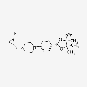 CCCC1(C)OB(c2ccc(N3CCN(C[C@@H]4C[C@@H]4F)CC3)cc2)OC1(C)C